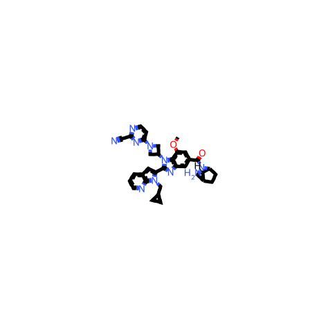 COc1cc(C(=O)N2CC3CCC2[C@@H]3N)cc2nc(-c3cc4cccnc4n3CC3CC3)n(C3CN(c4ccnc(C#N)n4)C3)c12